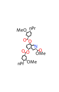 CCCc1ccc(C(=O)Oc2ccc(OC(=O)c3ccc(CCC)c(OC)c3)c3cc(C(=O)OC)ncc23)cc1OC